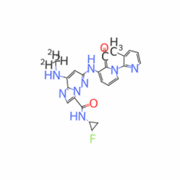 [2H]C([2H])([2H])Nc1cc(NC2=CC=CN(c3ncccc3C)C2=C=O)nn2c(C(=O)N[C@@H]3C[C@@H]3F)cnc12